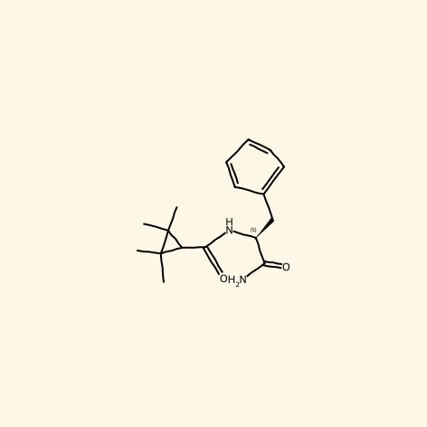 CC1(C)C(C(=O)N[C@@H](Cc2ccccc2)C(N)=O)C1(C)C